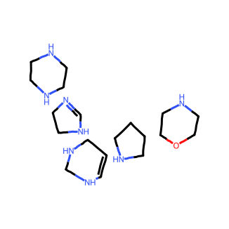 C1=CNCNC1.C1=NCCN1.C1CCNC1.C1CNCCN1.C1COCCN1